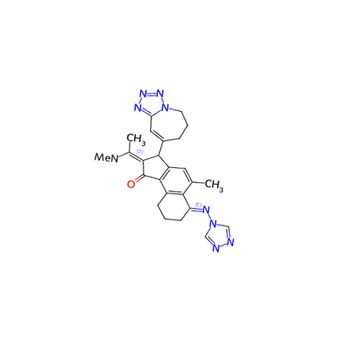 CN/C(C)=C1\C(=O)c2c(cc(C)c3c2CCC/C3=N\n2cnnc2)C1C1=Cc2nnnn2CCC1